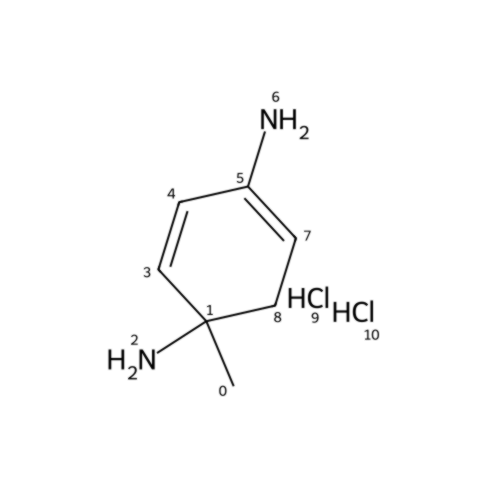 CC1(N)C=CC(N)=CC1.Cl.Cl